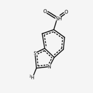 [2H]c1nc2ccc([SH](=O)=O)cc2s1